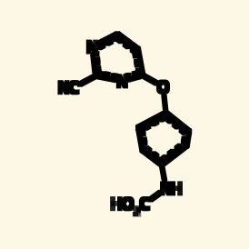 N#Cc1nccc(Oc2ccc(NC(=O)O)cc2)n1